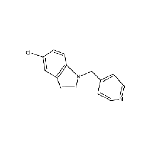 Clc1ccc2c(ccn2Cc2ccncc2)c1